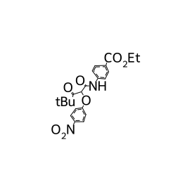 CCOC(=O)c1ccc(NC(=O)C(Oc2ccc([N+](=O)[O-])cc2)C(=O)C(C)(C)C)cc1